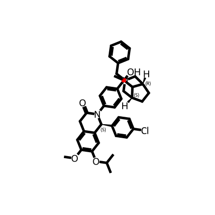 COc1cc2c(cc1OC(C)C)[C@H](c1ccc(Cl)cc1)N(c1ccc(C(C)(O)C3[C@@H]4CC[C@H]3CN(Cc3ccccc3)C4)cc1)C(=O)C2